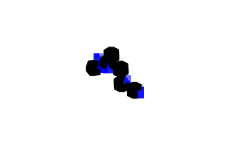 c1cc(-c2cccc(-c3ccncc3)n2)cc(-c2nc3c(nc4ccccn43)c3ccccc23)c1